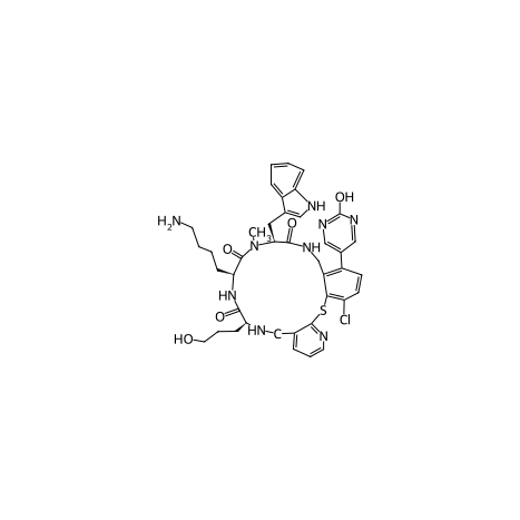 CN1C(=O)[C@H](CCCCN)NC(=O)[C@H](CCCO)NCc2cccnc2Sc2c(Cl)ccc(-c3cnc(O)nc3)c2CNC(=O)[C@@H]1Cc1c[nH]c2ccccc12